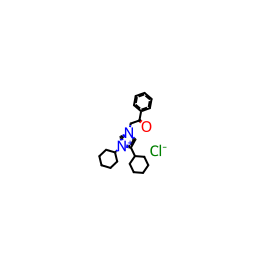 O=C(Cn1cc(C2CCCCC2)[n+](C2CCCCC2)c1)c1ccccc1.[Cl-]